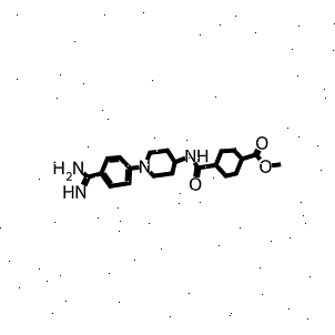 COC(=O)C1CCC(C(=O)NC2CCN(c3ccc(C(=N)N)cc3)CC2)CC1